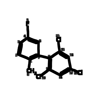 Cc1ccc(F)cc1-c1c(Cl)cc(Cl)cc1Cl